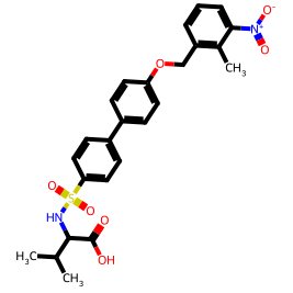 Cc1c(COc2ccc(-c3ccc(S(=O)(=O)NC(C(=O)O)C(C)C)cc3)cc2)cccc1[N+](=O)[O-]